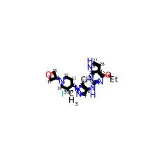 CCOc1nc(Nc2cnn([C@@H]3CCN(C4COC4)C[C@]3(C)F)c2C)nc2[nH]ccc12